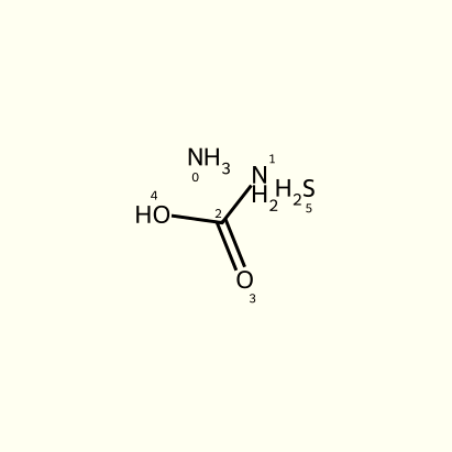 N.NC(=O)O.S